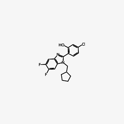 Oc1cc(Cl)ccc1-c1nc2cc(F)c(F)cc2n1CC1CCCC1